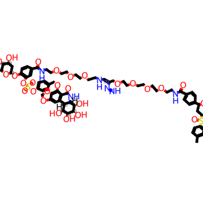 Cc1ccc(S(=O)(=O)CCC(=O)c2ccc(C(=O)NCCOCCOCCOCCOC/C(=C/NCCOCCOCCOCCNC(=O)c3ccc(O[C@H]4C[C@@H](O)[C@@H](O)[C@@H](CO)O4)c(OS(=O)(=O)Oc4ccc(COc5c6c(cc7c5C(=O)N[C@H]5[C@H](O)[C@H](O)[C@@H](O)[C@H](O)[C@H]75)OCO6)cc4)c3)N=N)cc2)cc1